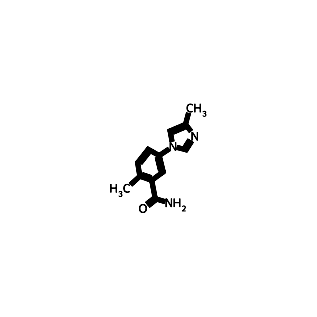 Cc1cn(-c2ccc(C)c(C(N)=O)c2)cn1